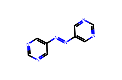 c1ncc(/N=N/c2cncnc2)cn1